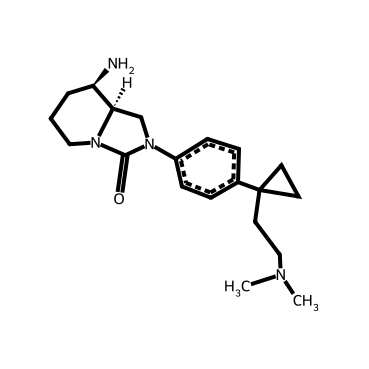 CN(C)CCC1(c2ccc(N3C[C@@H]4[C@H](N)CCCN4C3=O)cc2)CC1